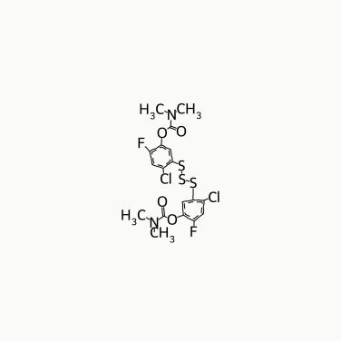 CN(C)C(=O)Oc1cc(SSSc2cc(OC(=O)N(C)C)c(F)cc2Cl)c(Cl)cc1F